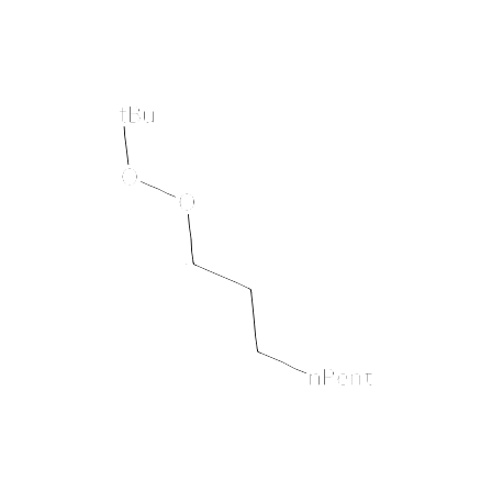 CCCCCCC[CH]OOC(C)(C)C